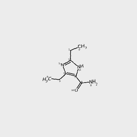 CCc1nc(CC)c(C(N)=O)[nH]1